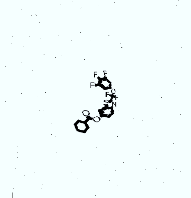 O=C(Oc1ccc2nc(C(F)(F)Oc3cc(F)c(F)c(F)c3)sc2c1)C1CCCCC1